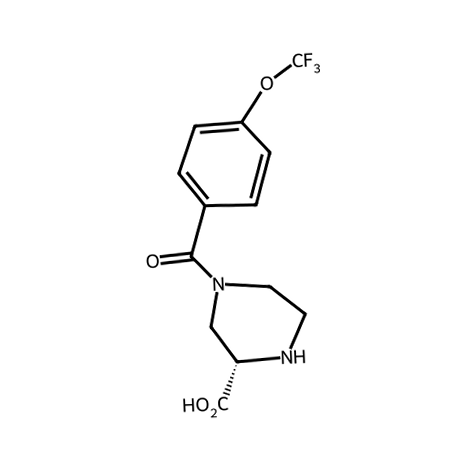 O=C(O)[C@@H]1CN(C(=O)c2ccc(OC(F)(F)F)cc2)CCN1